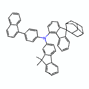 CC1(C)c2ccccc2-c2ccc(N(c3ccc(-c4cccc5ccccc45)cc3)c3cccc4c3-c3ccccc3C43C4CC5CC(C4)CC3C5)cc21